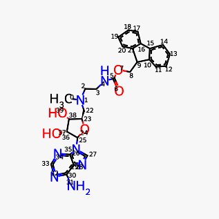 CN(CCNC(=O)OCC1c2ccccc2-c2ccccc21)C[C@H]1OC(n2cnc3c(N)ncnc32)[C@H](O)[C@@H]1O